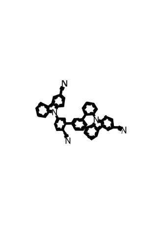 N#Cc1ccc2c(c1)c1ccccc1n2-c1ccc(C#N)c(-c2cccc(-c3ccccc3-n3c4ccccc4c4cc(C#N)ccc43)c2)c1